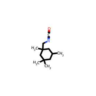 CC1CC(C)(C)CC(C)(CN=C=O)C1